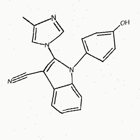 Cc1cn(-c2c(C#N)c3ccccc3n2-c2ccc(O)cc2)cn1